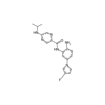 CC(C)Nc1cnc(C(=O)Nc2cc(-n3ccc(F)c3)ccc2N)cn1